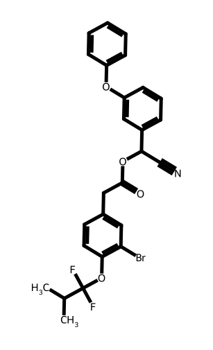 CC(C)C(F)(F)Oc1ccc(CC(=O)OC(C#N)c2cccc(Oc3ccccc3)c2)cc1Br